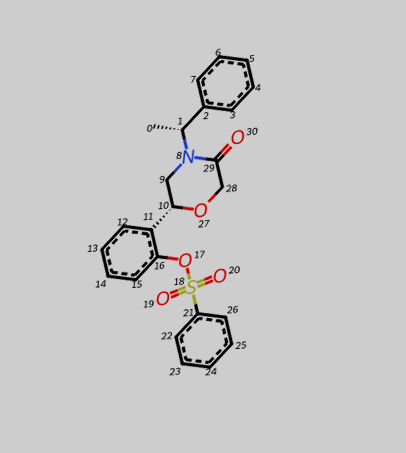 C[C@H](c1ccccc1)N1C[C@@H](c2ccccc2OS(=O)(=O)c2ccccc2)OCC1=O